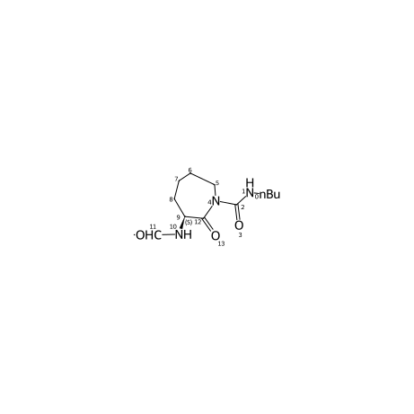 CCCCNC(=O)N1CCCC[C@H](N[C]=O)C1=O